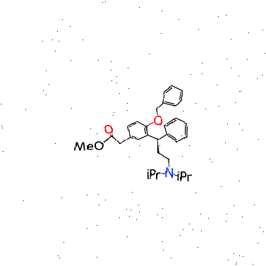 COC(=O)Cc1ccc(OCc2ccccc2)c([C@H](CCN(C(C)C)C(C)C)c2ccccc2)c1